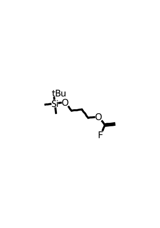 C=C(F)OCCCO[Si](C)(C)C(C)(C)C